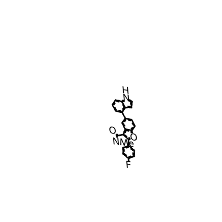 CNC(=O)c1c(-c2ccc(F)cc2)oc2ccc(-c3cccc4[nH]ccc34)cc12